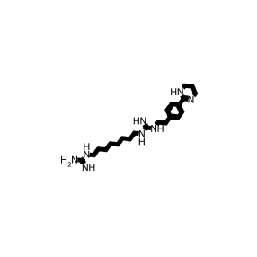 N=C(N)NCCCCCCCCNC(=N)NCCc1ccc(C2=NCCCN2)cc1